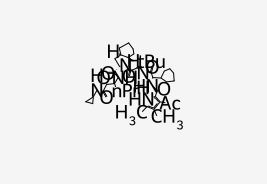 CCCC(NC(=O)[C@@H]1C[C@@H]2CCCC[C@@H]2N1C(=O)[C@@H](NC(=O)[C@@H](NC(=O)c1[nH]c(C)c(C)c1C(C)=O)C1CCCCC1)C(C)(C)C)C(=O)C(=O)NC1CC1